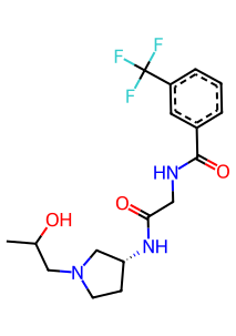 CC(O)CN1CC[C@@H](NC(=O)CNC(=O)c2cccc(C(F)(F)F)c2)C1